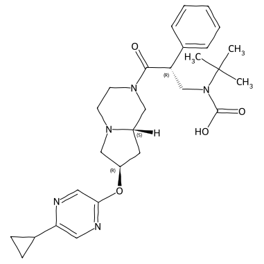 CC(C)(C)N(C[C@H](C(=O)N1CCN2C[C@H](Oc3cnc(C4CC4)cn3)C[C@H]2C1)c1ccccc1)C(=O)O